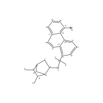 CC1C2CC(OC(C)(C)c3cccc4c3ccc3cccc(Br)c34)C(C2)C1C